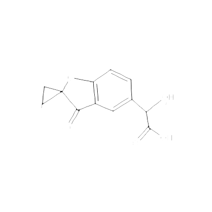 O=C(O)C(O)c1ccc2c(c1)C(=O)C1(CC1)O2